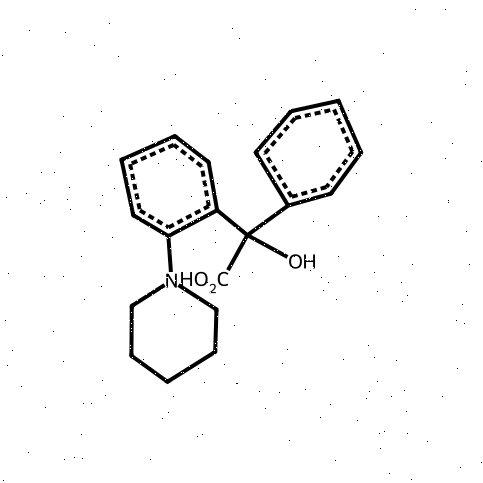 O=C(O)C(O)(c1ccccc1)c1ccccc1N1CCCCC1